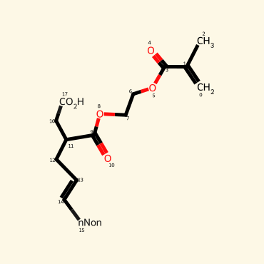 C=C(C)C(=O)OCCOC(=O)C(C/C=C/CCCCCCCCC)CC(=O)O